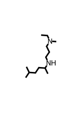 CCN(C)CCCNC(C)CCC(C)C